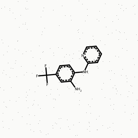 Nc1cc(C(F)(F)F)ccc1Nc1ccccn1